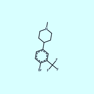 CN1CCC(c2ccc(Br)c(C(F)(F)F)c2)CC1